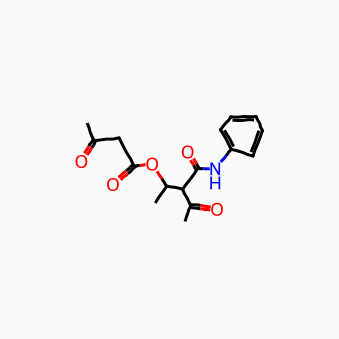 CC(=O)CC(=O)OC(C)C(C(C)=O)C(=O)Nc1ccccc1